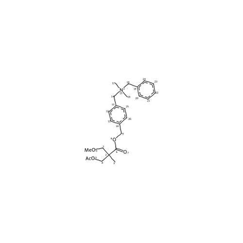 COCC(C)(COC(C)=O)C(=O)OCc1ccc(C[N+](C)(C)Cc2ccccc2)cc1